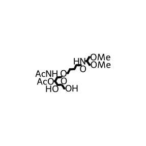 COCC(COC)NC(=O)CCCCO[C@@H]1OC(CO)[C@H](O)C(OC(C)=O)C1NC(C)=O